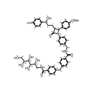 COc1ccc(C2C(CCC(O)c3ccc(F)cc3)C(=O)N2c2ccc(CNC(=O)c3ccc(Cc4ccc(C(=O)NCC(O)C(O)C(O)C(O)CO)cc4)cc3)cc2)cc1